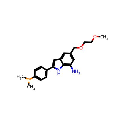 COCCOCc1cc(N)c2[nH]c(-c3ccc(P(C)C)cc3)cc2c1